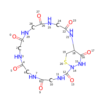 O=C1CNC(=O)CNC(=O)CNC(=O)N2NC(=O)C(CS2)NC(=O)CNC(=O)CN1